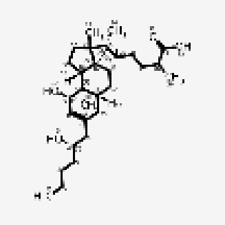 CCCC[C@H](O)CC1=C[C@@H](O)[C@]2(C)[C@H](CC[C@@]3(C)[C@H]2CCC3(C)[C@H](C)CCCC(C)C(=O)O)C1